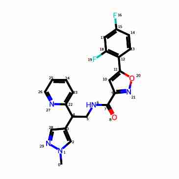 Cn1cc(C(CNC(=O)c2cc(-c3ccc(F)cc3F)on2)c2ccccn2)cn1